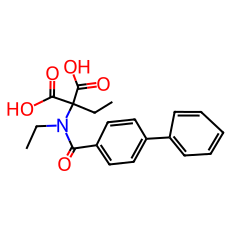 CCN(C(=O)c1ccc(-c2ccccc2)cc1)C(CC)(C(=O)O)C(=O)O